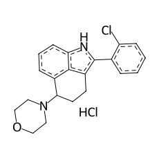 Cl.Clc1ccccc1-c1[nH]c2cccc3c2c1CCC3N1CCOCC1